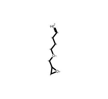 [CH]=CCCCOCC1CO1